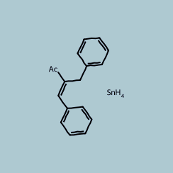 CC(=O)C(=Cc1ccccc1)Cc1ccccc1.[SnH4]